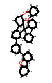 c1cc(-c2ccc3c(c2)C2(c4ccccc4-c4ccccc42)c2c-3ccc3c2Oc2ccccc2O3)cc(-c2cccc3c2oc2ccccc23)c1